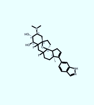 CN(C)[C@H]1C[C@@]23CC[C@]4(O2)C2CC=C(c5ccc6cn[nH]c6c5)[C@@]2(C)CCC4(F)CC3(F)[C@@H](O)[C@@H]1O